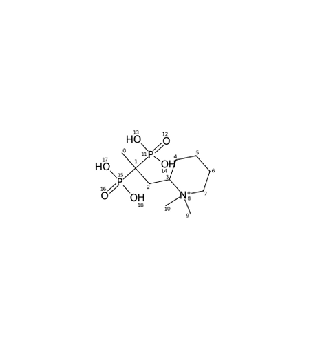 CC(CC1CCCC[N+]1(C)C)(P(=O)(O)O)P(=O)(O)O